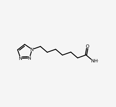 [NH]C(=O)CCCCCCn1ccnn1